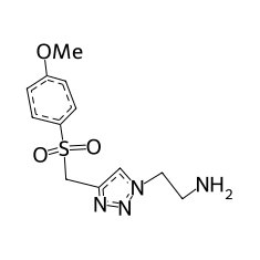 COc1ccc(S(=O)(=O)Cc2cn(CCN)nn2)cc1